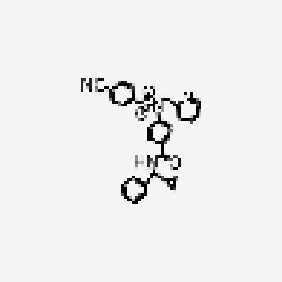 N#Cc1ccc(S(=O)(=O)N(Cc2ccccn2)c2ccc(C(=O)NC(c3ccccc3)C3CC3)cc2)cc1